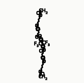 C=CC(=O)OCCCCCCOc1ccc(CCC(=O)Oc2ccc(C(c3ccc(OC(=O)CCc4ccc(OCCCCCCOC(=O)C=C)cc4)cc3)(C(F)(F)F)C(F)(F)F)cc2)cc1